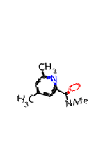 CNC(=O)c1cc(C)cc(C)n1